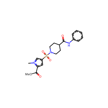 COC(=O)c1cc(S(=O)(=O)N2CCC(C(=O)Nc3ccccc3)CC2)cn1C